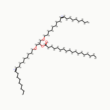 CCCCCCCC/C=C\CCCCCCCCOCC(COCCCCCCCC/C=C\CCCCCCCC)OC(=O)CCCCCCCCCCCCCCCCC